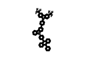 FC(F)(F)c1ccc2c(c1)c1cc(C(F)(F)F)ccc1n2-c1ccc(-c2ccc3c(c2)c2ccccc2n3-c2ccc(-c3c4ccccc4c(-c4ccccc4)c4ccccc34)cc2)cc1